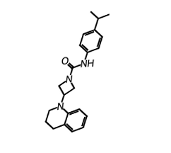 CC(C)c1ccc(NC(=O)N2CC(N3CCCc4ccccc43)C2)cc1